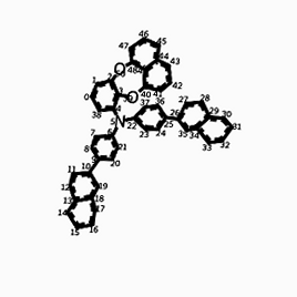 c1cc2c(c(N(c3ccc(-c4ccc5ccccc5c4)cc3)c3ccc(-c4ccc5ccccc5c4)cc3)c1)Oc1cccc3cccc(c13)O2